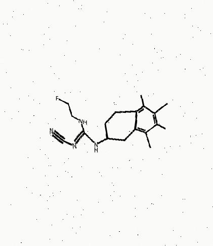 Cc1c(C)c(C)c2c(c1C)CCC(N/C(=N/C#N)NCCF)C2